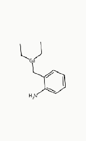 C[CH2][Ga]([CH2]C)[CH2]c1ccccc1N